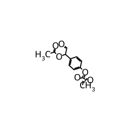 CC(=O)OC(C=O)c1ccc(OS(C)(=O)=O)cc1